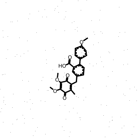 COC1=C(OC)C(=O)C(Cc2ccc(-c3ccc(OC)cc3)c(C(=O)O)c2)=C(C)C1=O